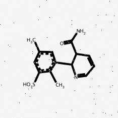 Cc1cc(C2N=CC=CC2C(N)=O)c(C)c(S(=O)(=O)O)c1